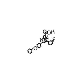 O=C(O)c1cc2nc(-c3ccc(OCc4ccccc4)cc3)cc(-c3cccc(F)c3)n2n1